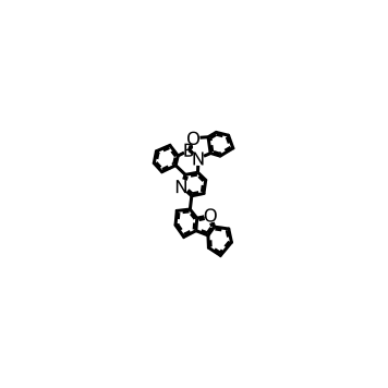 c1ccc2c(c1)OB1c3ccccc3-c3nc(-c4cccc5c4oc4ccccc45)ccc3N12